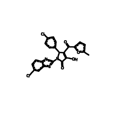 Cc1ccc(C(=O)C2=C(O)C(=O)N(c3nc4ccc(Cl)cc4s3)C2c2ccc(Cl)cc2)o1